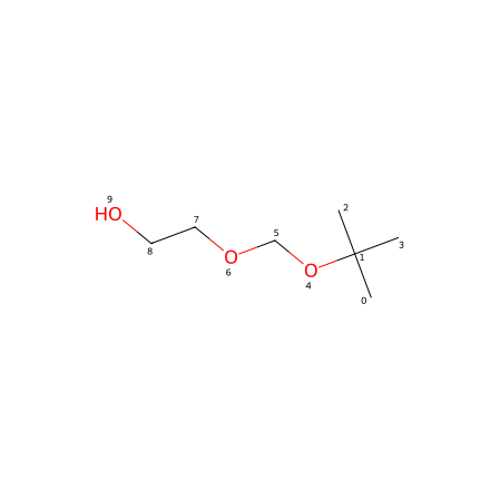 CC(C)(C)OCOCCO